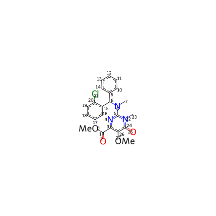 COC(=O)c1nc(N(C)C(c2ccccc2)c2ccccc2Cl)n(C)c(=O)c1OC